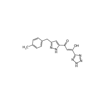 Cc1ccc(Cc2cc(C(=O)C=C(O)c3nn[nH]n3)[nH]n2)cc1